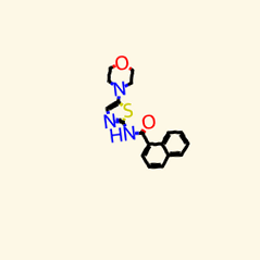 O=C(Nc1ncc(N2CCOCC2)s1)c1cccc2ccccc12